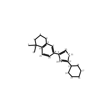 CC1(C)CCCc2cc(-c3csc(C4CCCCC4)n3)ccc21